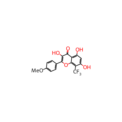 COc1ccc(-c2oc3c(C(F)(F)F)c(O)cc(O)c3c(=O)c2O)cc1